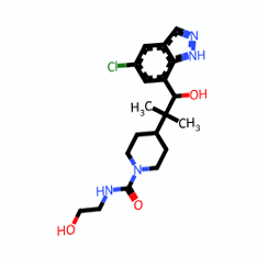 CC(C)(C1CCN(C(=O)NCCO)CC1)C(O)c1cc(Cl)cc2cn[nH]c12